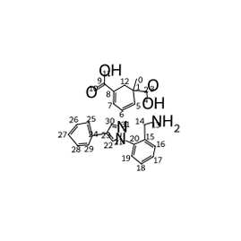 CC1(C(=O)O)C=CC=C(C(=O)O)C1.NCc1ccccc1-n1cc(-c2ccccc2)cn1